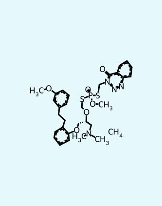 C.COc1cccc(CCc2ccccc2OC[C@@H](CN(C)C)OCSP(=O)(OC)SCn2nnc3ccccc3c2=O)c1